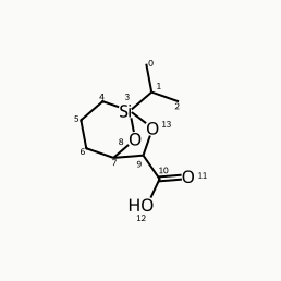 CC(C)[Si]12CCCC(O1)C(C(=O)O)O2